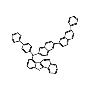 c1ccc(-c2ccc(N(c3ccc4cc(-c5ccc6ccc(-c7ccccc7)cc6c5)ccc4c3)c3cccc4sc5c6ccccc6ccc5c34)cc2)cc1